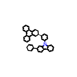 C1=CC(c2ccc3c4ccccc4n(-c4cccc([C@H]5C=c6c(c7ccccc7c7ccccc67)=CC5)c4)c3c2)=CCC1